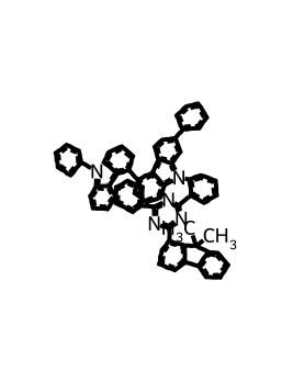 CC1(C)c2ccccc2-c2cccc(-c3nc(-c4ccccc4)nc(-c4ccccc4-n4c5cc(-c6ccccc6)ccc5c5c(-c6cccc7c6c6ccccc6n7-c6ccccc6)cccc54)n3)c21